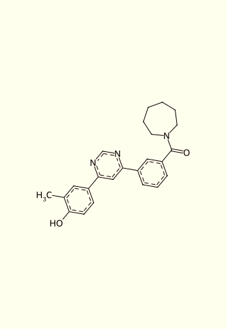 Cc1cc(-c2cc(-c3cccc(C(=O)N4CCCCCC4)c3)ncn2)ccc1O